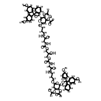 COc1ccc(C(OC[C@H]2O[C@@H](OCCCNC(=O)CNC(=O)OCC(O)COC(=O)NCC(=O)NCCCO[C@H]3C[C@@H](OC(C)=O)[C@@H](OC(C)=O)[C@@H](COC(c4ccccc4)(c4ccc(OC)cc4)c4ccc(OC)cc4)O3)C[C@@H](OC(C)=O)[C@H]2OC(C)=O)(c2ccccc2)c2ccc(OC)cc2)cc1